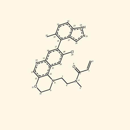 C=CC(=O)N(C)CCN1CCOc2cnc3cc(-c4c(C)ccc5[nH]ncc45)c(Cl)cc3c21